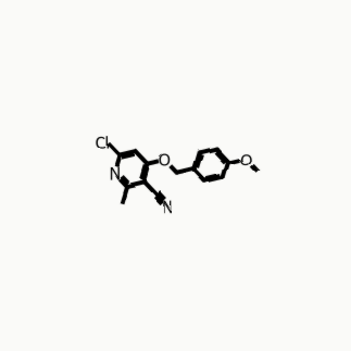 COc1ccc(COc2cc(Cl)nc(C)c2C#N)cc1